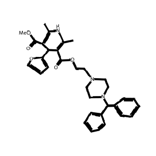 COC(=O)C1=C(C)NC(C)=C(C(=O)OCCN2CCN(C(c3ccccc3)c3ccccc3)CC2)C1c1ccco1